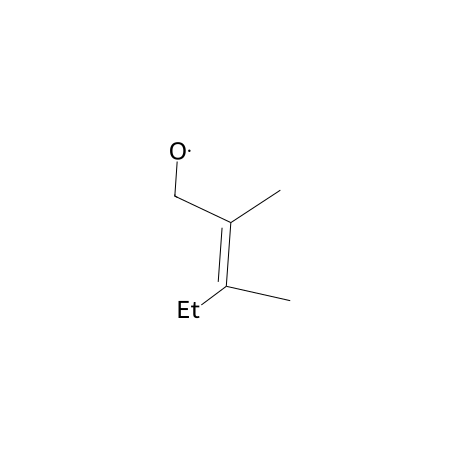 CCC(C)=C(C)C[O]